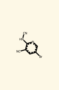 N#CNc1ncc(Br)cc1C#N